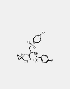 CC(=O)N1CCN(S(=O)(=O)CC(N[C@H](c2ccc(F)cc2)C(F)(F)F)C(=O)NC2(C#N)CC2)CC1